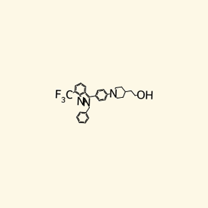 OCCC1CCN(c2ccc(-c3c4cccc(C(F)(F)F)c4nn3Cc3ccccc3)cc2)CC1